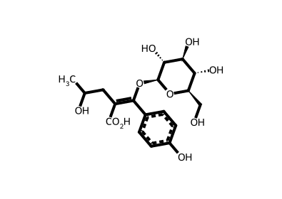 CC(O)CC(C(=O)O)=C(O[C@@H]1O[C@H](CO)[C@@H](O)[C@H](O)[C@H]1O)c1ccc(O)cc1